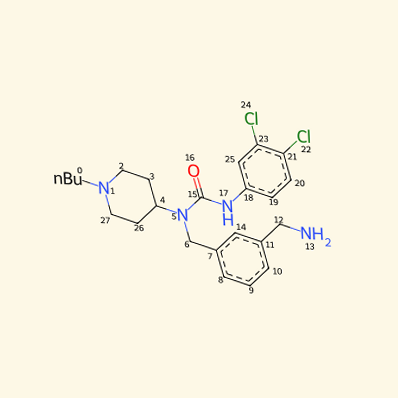 CCCCN1CCC(N(Cc2cccc(CN)c2)C(=O)Nc2ccc(Cl)c(Cl)c2)CC1